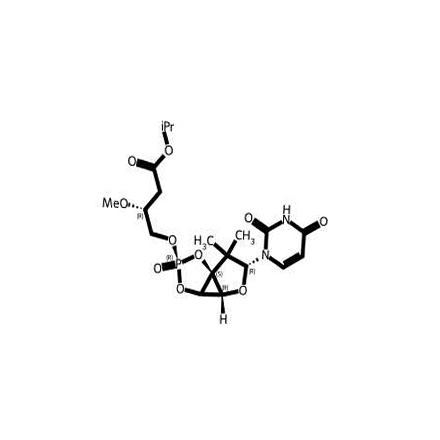 CO[C@@H](CO[P@]1(=O)OC2[C@H]3O[C@@H](n4ccc(=O)[nH]c4=O)C(C)(C)[C@@]23O1)CC(=O)OC(C)C